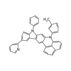 Cc1cccc(N2c3cc4c(cc3-c3cccc5cccc2c35)c2cc(-c3ccccn3)ccc2n4-c2ccccc2)c1